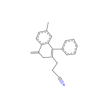 C=C1CC(CCC#N)=C(c2ccccc2)c2cc(C)ccc21